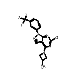 OC1CN(c2nc(Cl)nc3c2cnn3-c2cccc(C(F)(F)F)c2)C1